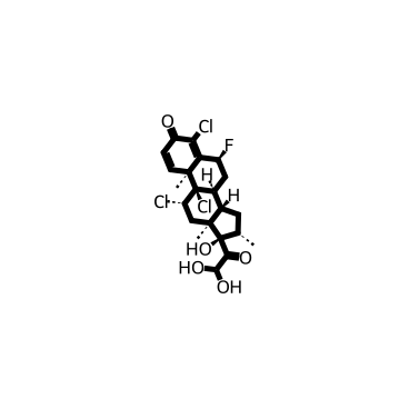 C[C@H]1C[C@H]2[C@@H]3C[C@H](F)C4=C(Cl)C(=O)C=C[C@]4(C)[C@@]3(Cl)[C@@H](Cl)C[C@]2(C)[C@@]1(O)C(=O)C(O)O